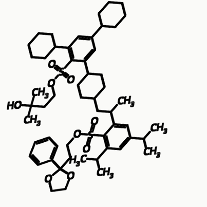 CC(C)c1cc(C(C)C)c(S(=O)(=O)OCCC2(c3ccccc3)OCCO2)c(C(C)CC2CCC(c3cc(C4CCCCC4)cc(C4CCCCC4)c3S(=O)(=O)OCCC(C)(C)O)CC2)c1